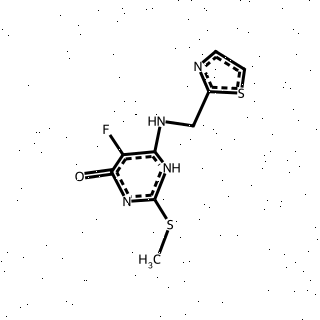 CSc1nc(=O)c(F)c(NCc2nccs2)[nH]1